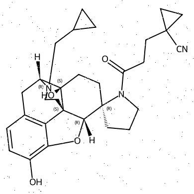 N#CC1(CCC(=O)N2CCC[C@]23CC[C@@]2(O)[C@H]4Cc5ccc(O)c6c5[C@@]2(CCN4CC2CC2)[C@H]3O6)CC1